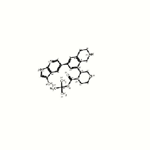 Cc1c[nH]c2ncc(-c3cc4c(c(C5COCCN5C(=O)OC(C)(C)C)c3)CNCC4)cc12